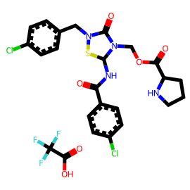 O=C(NC1SN(Cc2ccc(Cl)cc2)C(=O)N1COC(=O)C1CCCN1)c1ccc(Cl)cc1.O=C(O)C(F)(F)F